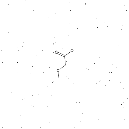 COCC([O])=O